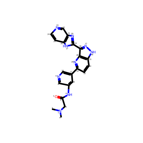 CN(C)CC(=O)Nc1cncc(-c2ccc3[nH]nc(-c4nc5cnccc5[nH]4)c3n2)c1